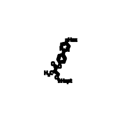 CCCCCCCOCC(C)C(=O)Oc1ccc(-c2ncc(CCCCCC)cn2)cc1